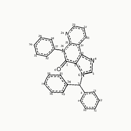 O=c1c2c(ncn2C(c2ccccc2)c2ccccc2)c2cccnc2n1-c1ccccc1